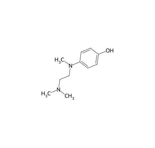 CN(C)CCN(C)c1ccc(O)cc1